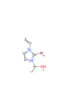 C=Cn1cc[n+](C(C)O)c1Br